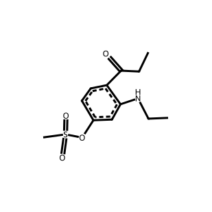 CCNc1cc(OS(C)(=O)=O)ccc1C(=O)CC